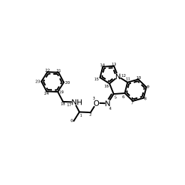 CC(CON=C1c2ccccc2-n2cccc21)NCc1ccccc1